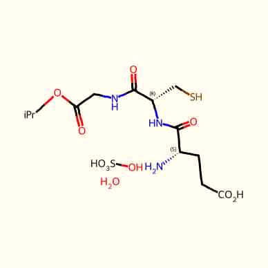 CC(C)OC(=O)CNC(=O)[C@H](CS)NC(=O)[C@@H](N)CCC(=O)O.O.O=S(=O)(O)O